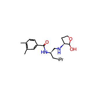 Cc1ccc(C(=O)N[C@@H](CN[C@H]2CCOC2O)CC(C)C)cc1C